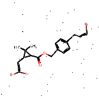 CC1(C)C(C=C(Br)Br)C1C(=O)OCc1ccc(C/C=C\Br)cc1